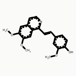 COc1cc(/C=C/c2nccc3cc(OC)c(OC)cc23)ccc1O